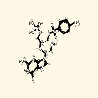 Cc1ccc(S(=O)(=O)OC[C@@H](COP(=O)(O)O)O[C@H](CO)n2cnc3c(=O)[nH]c(N)nc32)cc1